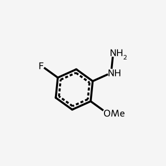 COc1ccc(F)cc1NN